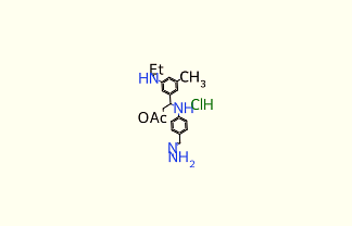 CCNc1cc(C)cc(C(COC(C)=O)Nc2ccc(C=NN)cc2)c1.Cl